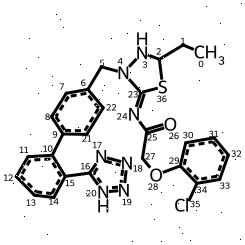 CCC1NN(Cc2ccc(-c3ccccc3-c3nnn[nH]3)cc2)C(=NC(=O)COc2ccccc2Cl)S1